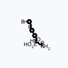 NC(=O)CC[C@H](NC(=O)c1ccc(-c2ccc(OCc3cccc(Br)c3)cc2)cc1)C(=O)O